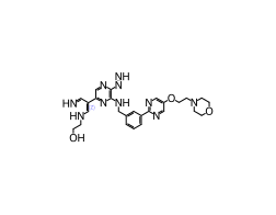 N=C/C(=C\NCCO)c1cnc(N=N)c(NCc2cccc(-c3ncc(OCCN4CCOCC4)cn3)c2)n1